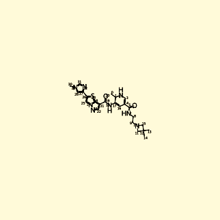 CC1NC=C(C(=O)NCCN2CC(C)(C)C2)C=C1NC(=O)c1cnn2cc(-c3cn(C)cn3)sc12